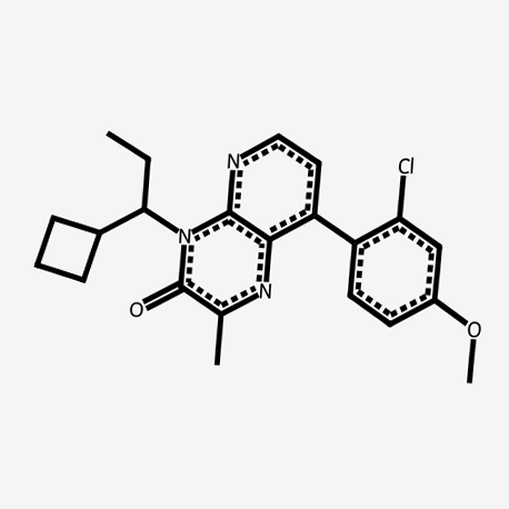 CCC(C1CCC1)n1c(=O)c(C)nc2c(-c3ccc(OC)cc3Cl)ccnc21